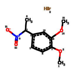 Br.COc1ccc(C(C)[N+](=O)[O-])cc1OC